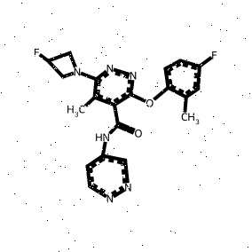 Cc1cc(F)ccc1Oc1nnc(N2CC(F)C2)c(C)c1C(=O)Nc1ccnnc1